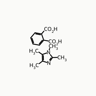 Cc1nc(C)n(C)c1C.O=C(O)c1ccccc1C(=O)O